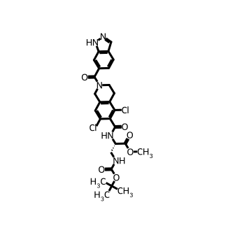 COC(=O)[C@H](CNC(=O)OC(C)(C)C)NC(=O)c1c(Cl)cc2c(c1Cl)CCN(C(=O)c1ccc3cn[nH]c3c1)C2